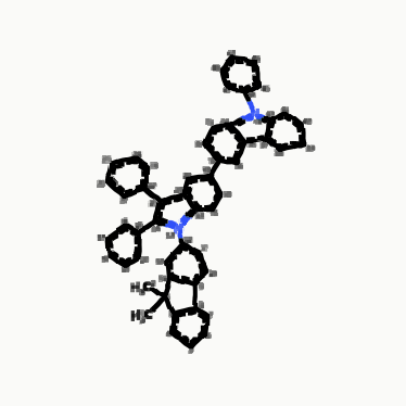 CC1(C)c2ccccc2-c2ccc(-n3c(-c4ccccc4)c(-c4ccccc4)c4cc(-c5ccc6c(c5)c5ccccc5n6-c5ccccc5)ccc43)cc21